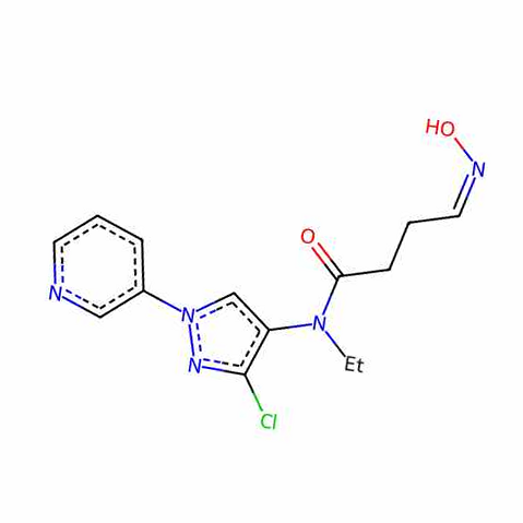 CCN(C(=O)CC/C=N\O)c1cn(-c2cccnc2)nc1Cl